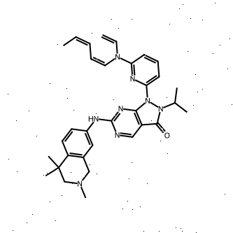 C=CN(/C=C\C=C/C)c1cccc(-n2c3nc(Nc4ccc5c(c4)CN(C)CC5(C)C)ncc3c(=O)n2C(C)C)n1